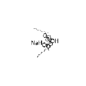 CCCCCCC(C)OC(=O)CC(C(=O)OC(C)CCCCCC)S(=O)(=O)O.[NaH]